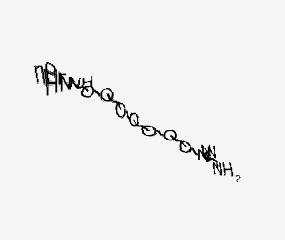 CCCNNCCOCCOCCOCCOCCOCCOCCOCCn1cc(CN)nn1